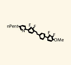 CCCCCc1ccc(-c2ccc(CCc3ccc(-c4ccc(OC)c(F)c4F)cc3)c(F)c2F)nc1